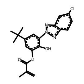 C=C(C)C(=O)Oc1cc(C(C)(C)C)cc(-n2nc3ccc(Cl)cc3n2)c1O